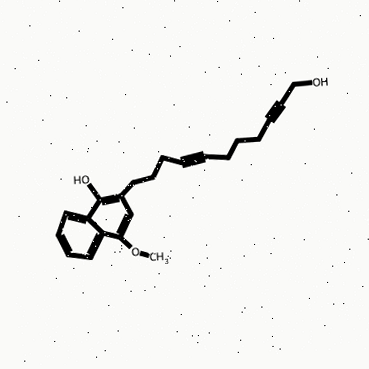 COc1cc(CCCC#CCCCC#CCO)c(O)c2ccccc12